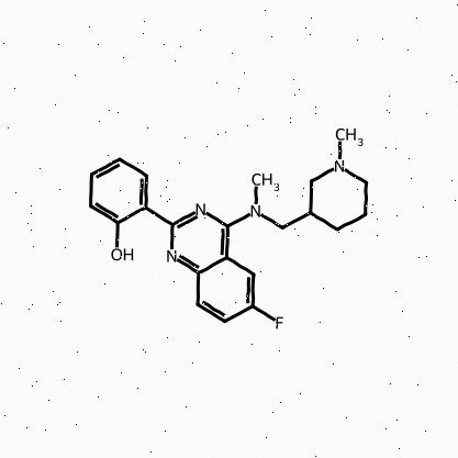 CN1CCCC(CN(C)c2nc(-c3ccccc3O)nc3ccc(F)cc23)C1